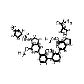 COc1nc(-c2cccc(-c3cccc(-c4cc5c(c(OC)n4)[C@H](N4CC(C(C)=O)C4)CC5)c3Cl)c2Cl)cc2c1[C@@H](NC[C@@H]1CCC(=O)N1)CC2